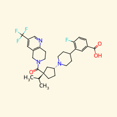 CC(C)[C@]1(C(=O)N2CCc3ncc(C(F)(F)F)cc3C2)CC[C@@H](N2CCC(c3cc(C(=O)O)ccc3F)CC2)C1